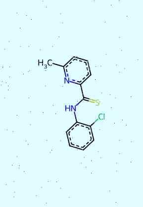 Cc1cccc(C(=S)Nc2ccccc2Cl)n1